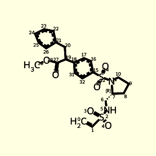 C=CS(=O)(=O)NC[C@H]1CCCN1S(=O)(=O)c1ccc(C(Cc2ccccc2)C(=O)OC)cc1